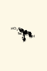 Cc1ccc2[nH]ncc2c1Oc1cccc2c(N3CCN(C(=O)O)CC3)c(C#N)c(OC[C@@H]3CC(F)(F)CN3C)nc12